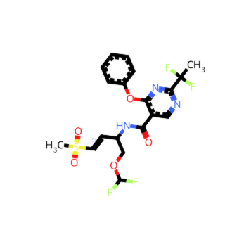 CC(F)(F)c1ncc(C(=O)NC(/C=C/S(C)(=O)=O)COC(F)F)c(Oc2ccccc2)n1